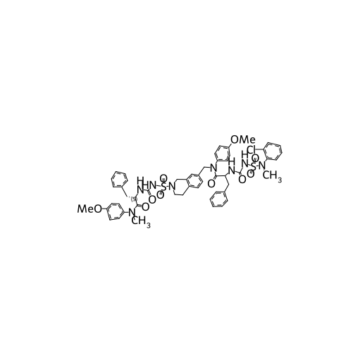 COc1ccc(N(C)C(=O)[C@H](Cc2ccccc2)NC(=O)NS(=O)(=O)N2CCc3ccc(CN(C(=O)C(Cc4ccccc4)NC(=O)NS(=O)(=O)N(C)c4ccccc4Cl)c4ccc(OC)cc4)cc3C2)cc1